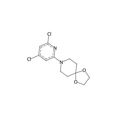 Clc1cc(Cl)nc(N2CCC3(CC2)OCCO3)c1